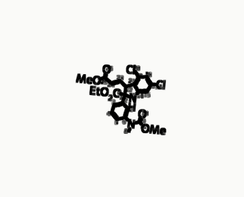 CCOC(=O)C1(c2cccc(N(C)C(=O)OC)c2)Nc2cc(Cl)cc(Cl)c2C1C=CC(=O)OC